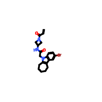 C=CC(=O)N1CC(NC(=O)Cn2c3c(c4cc(Br)ccc42)CCCCC3)C1